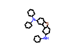 c1ccc(Nc2ccc3sc4ccc(N(c5ccccc5)c5ccccc5)cc4c3c2)cc1